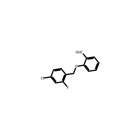 O=Cc1ccccc1OCc1ccc(Cl)cc1F